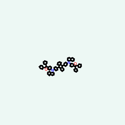 c1ccc(-c2oc3cc(N(c4ccc(-c5c6ccccc6c(-c6ccc(N(c7ccc8c(-c9ccccc9)c(-c9ccccc9)oc8c7)c7cccc8ccccc78)cc6)c6ccccc56)cc4)c4cccc5ccccc45)ccc3c2-c2ccccc2)cc1